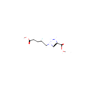 CC(C)(C)OC(=O)CC[C@@H](F)CN1C=C(C(=O)OC(C)(C)C)NN1